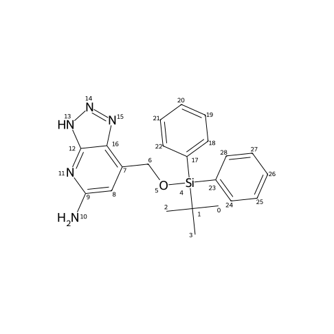 CC(C)(C)[Si](OCc1cc(N)nc2[nH]nnc12)(c1ccccc1)c1ccccc1